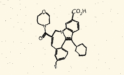 O=C(O)c1ccc2c(C3CCCCC3)c3n(c2c1)CC(C(=O)N1CCOCC1)=Cc1cc(F)ccc1-3